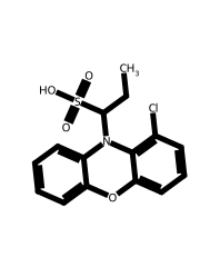 CCC(N1c2ccccc2Oc2cccc(Cl)c21)S(=O)(=O)O